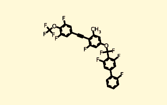 Cc1cc(OC(F)(F)c2c(F)cc(-c3ccccc3F)cc2F)cc(F)c1C#Cc1cc(F)c(OC(F)(F)F)c(F)c1